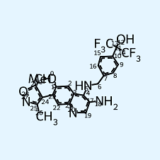 COc1cc2c(NCc3ccc(C(O)(C(F)(F)F)C(F)(F)F)cc3)c(N)cnc2cc1-c1c(C)noc1C